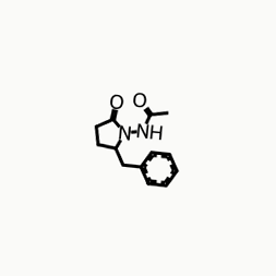 CC(=O)NN1C(=O)CCC1Cc1ccccc1